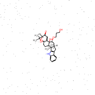 CC1(C)O[C@@]23CC[C@]4(C)[C@@]5(C)c6[nH]c7ccccc7c6C[C@@H]5C[C@H](OCCCO)[C@@]4(O)C2=CC(=O)[C@@H]1O3